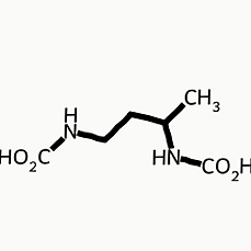 CC(CCNC(=O)O)NC(=O)O